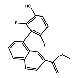 C=C(OC)c1ccc2cccc(-c3c(F)ccc(O)c3F)c2c1